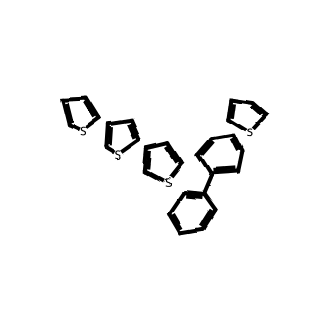 c1ccc(-c2ccccc2)cc1.c1ccsc1.c1ccsc1.c1ccsc1.c1ccsc1